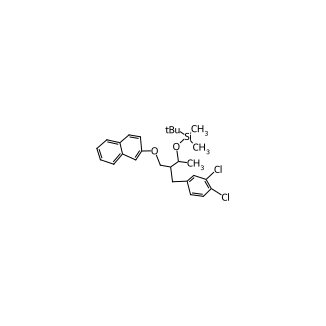 CC(O[Si](C)(C)C(C)(C)C)C(COc1ccc2ccccc2c1)Cc1ccc(Cl)c(Cl)c1